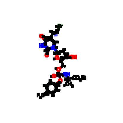 CCOC(=O)[C@H](C)NP(=O)(OC[C@H]1O[C@@H](n2cc(/C=C/Br)c(=O)[nH]c2=O)C[C@H]1O)Oc1ccc(C(F)(F)F)cc1